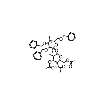 CC(=O)OCC1O[C@H](O[C@@]2(C)OC(COCc3ccccc3)[C@H](C)[C@H](OCc3ccccc3)C2OCc2ccccc2)C(C)C(OC(C)=O)[C@@H]1OC(C)=O